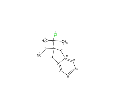 CC(C)(Cl)C1(CC#N)Cc2ccccc2C1